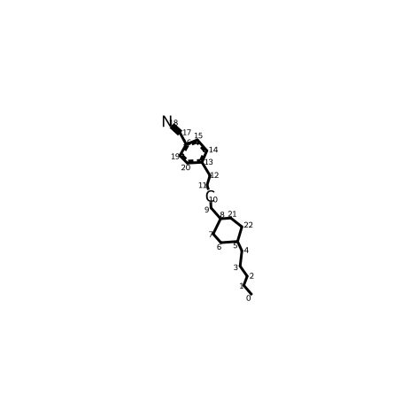 CCCCCC1CCC(CCCCc2ccc(C#N)cc2)CC1